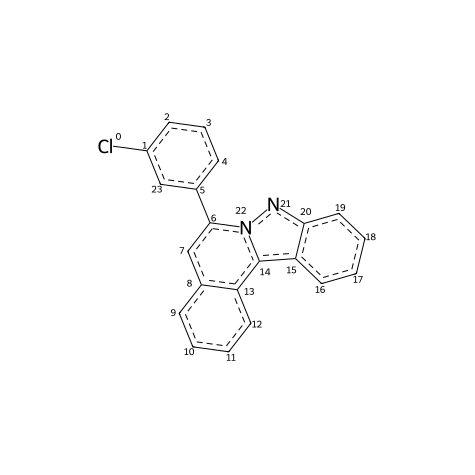 Clc1cccc(-c2cc3ccccc3c3c4ccccc4nn23)c1